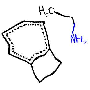 CCN.c1ccc2c(c1)CC2